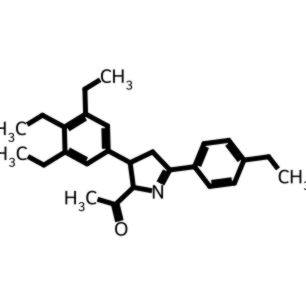 CCc1ccc(C2=NC(C(C)=O)C(c3cc(CC)c(CC)c(CC)c3)C2)cc1